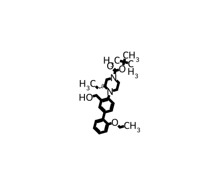 CCOc1ccccc1-c1ccc(N2CCN(C(=O)OC(C)(C)C)C[C@H]2CC)c(CO)c1